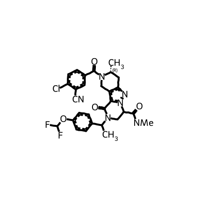 CNC(=O)C1CN(C(C)c2ccc(OC(F)F)cc2)C(=O)c2c3c(nn21)C[C@@H](C)N(C(=O)c1ccc(Cl)c(C#N)c1)C3